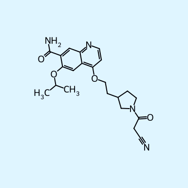 CC(C)Oc1cc2c(OCCC3CCN(C(=O)CC#N)C3)ccnc2cc1C(N)=O